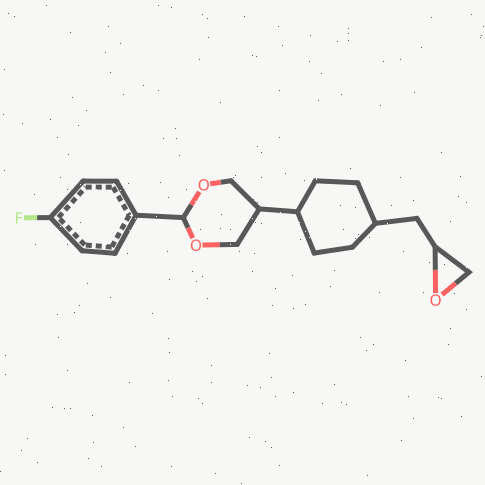 Fc1ccc(C2OCC(C3CCC(CC4CO4)CC3)CO2)cc1